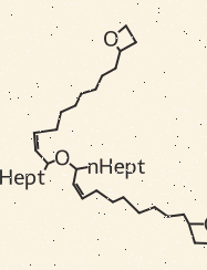 CCCCCCCC(/C=C\CCCCCCCC1CCO1)OC(/C=C\CCCCCCCC1CCO1)CCCCCCC